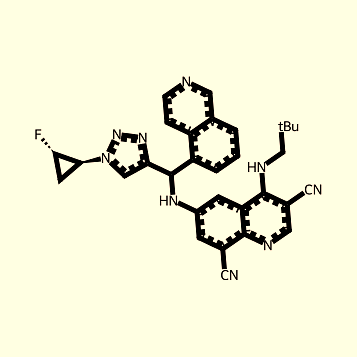 CC(C)(C)CNc1c(C#N)cnc2c(C#N)cc(NC(c3cn([C@H]4C[C@@H]4F)nn3)c3cccc4cnccc34)cc12